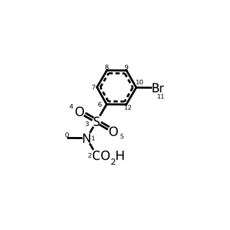 CN(C(=O)O)S(=O)(=O)c1cccc(Br)c1